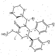 CC[C@@H]([C@H]1CNCCO1)N1C(=O)[C@](C)(CC(=O)O)C[C@H](c2cccc(Cl)c2)[C@H]1c1ccc(Cl)cc1